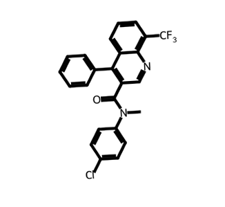 CN(C(=O)c1cnc2c(C(F)(F)F)cccc2c1-c1ccccc1)c1ccc(Cl)cc1